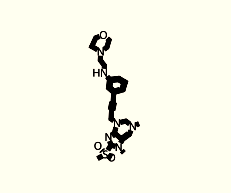 CN1C=C2C(=NC(S(C)(=O)=O)N2C)N(CC#Cc2cccc(NCCN3CCOCC3)c2)C1